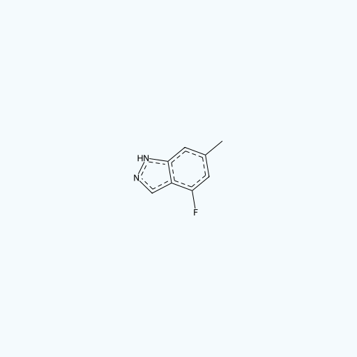 Cc1cc(F)c2cn[nH]c2c1